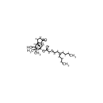 CCCCN(CCCC)CCSCC(=O)O[C@@H]1CC(C)(C)[C@@H](O)CC23CCCC1C2C(=O)CC3